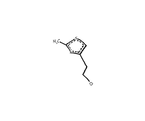 Cc1nc(CC[O])cs1